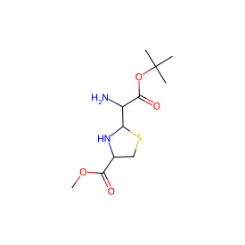 COC(=O)C1CSC(C(N)C(=O)OC(C)(C)C)N1